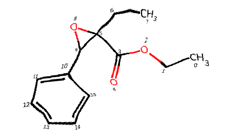 CCOC(=O)C1(CC)OC1c1ccccc1